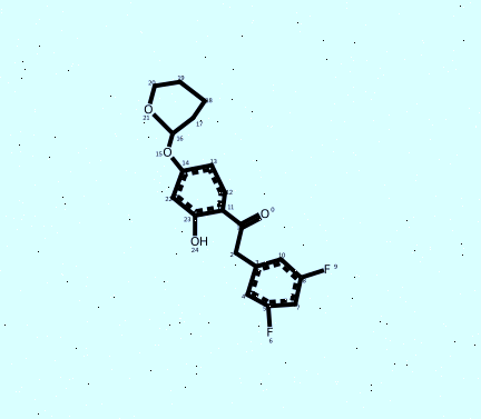 O=C(Cc1cc(F)cc(F)c1)c1ccc(OC2CCCCO2)cc1O